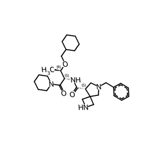 C[C@@H](OCC1CCCCC1)[C@H](NC(=O)[C@@H]1CN(Cc2ccccc2)CC12CNC2)C(=O)N1CCCCC1